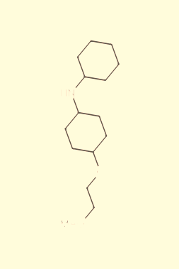 COCCOC1CCC(NC2CCCCC2)CC1